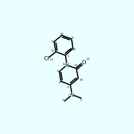 CN(C)c1ccn(-c2ccccc2Cl)c(=O)c1